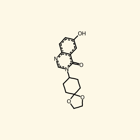 O=c1c2cc(O)ccc2ncn1C1CCC2(CC1)OCCO2